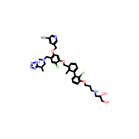 Cc1c(COc2cc(OCc3cncc(C#N)c3)c(CN(C)CC(C)c3nnn[nH]3)cc2Cl)cccc1-c1cccc(OCCCNC[C@H](O)CO)c1Cl